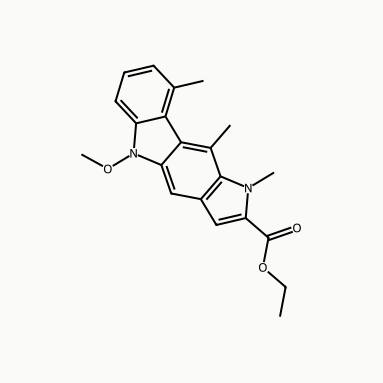 CCOC(=O)c1cc2cc3c(c(C)c2n1C)c1c(C)cccc1n3OC